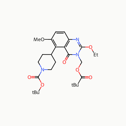 CCOc1nc2ccc(OC)c(C3CCN(C(=O)OC(C)(C)C)CC3)c2c(=O)n1COC(=O)C(C)(C)C